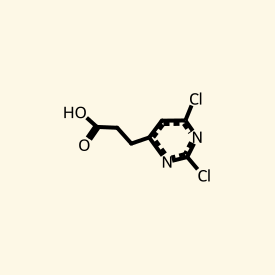 O=C(O)CCc1cc(Cl)nc(Cl)n1